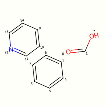 O=CO.c1ccccc1.c1ccncc1